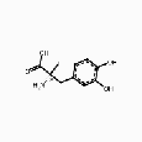 N[C@](I)(Cc1ccc(O)c(O)c1)C(=O)O